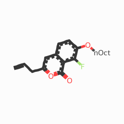 C=CCc1cc2ccc(OCCCCCCCC)c(F)c2c(=O)o1